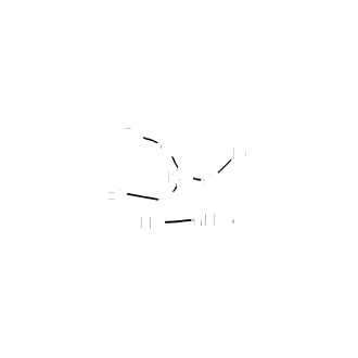 CCCCCCS.CCO[SiH](OCC)OCC